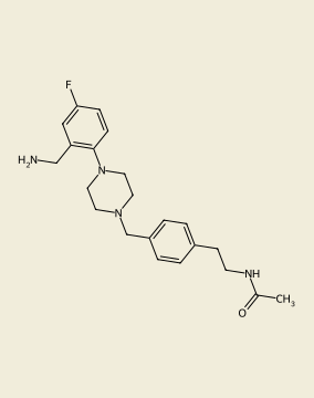 CC(=O)NCCc1ccc(CN2CCN(c3ccc(F)cc3CN)CC2)cc1